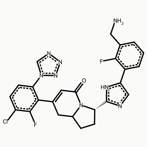 NCc1cccc(-c2cnc([C@@H]3CCC4CC(c5c(-n6cnnn6)ccc(Cl)c5F)=CC(=O)N43)[nH]2)c1F